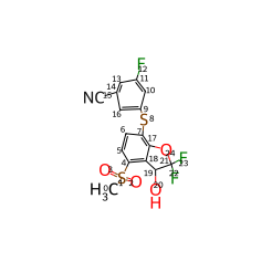 CS(=O)(=O)c1ccc(Sc2cc(F)cc(C#N)c2)c2c1C(O)C(F)(F)O2